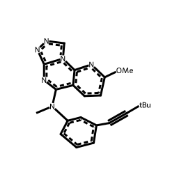 COc1ccc2c(N(C)c3cccc(C#CC(C)(C)C)c3)nc3nncn3c2n1